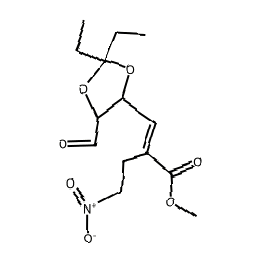 CCC1(CC)OC(C=O)C(C=C(CC[N+](=O)[O-])C(=O)OC)O1